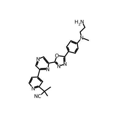 CN(CCN)c1ccc(-c2nnc(-c3cncc(-c4ccnc(C(C)(C)C#N)c4)n3)o2)cc1